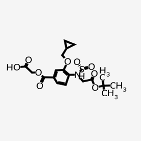 CC(C)(C)OC(=O)CN(c1ccc(C(=O)OCC(=O)O)cc1OCC1CC1)[SH](=O)=O